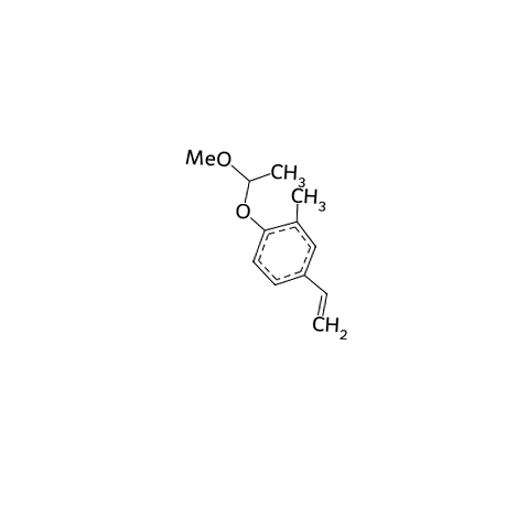 C=Cc1ccc(OC(C)OC)c(C)c1